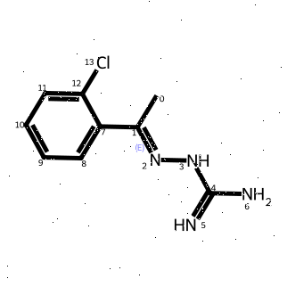 C/C(=N\NC(=N)N)c1ccccc1Cl